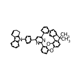 CC1(C)c2ccccc2-c2c1ccc1c2Oc2c(cccc2-c2nc(-c3ccccc3)cc(-c3ccc(-n4c5c(c6ccccc64)C=CCC5)cc3)n2)O1